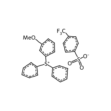 COc1cccc([S+](c2ccccc2)c2ccccc2)c1.O=S(=O)([O-])c1ccc(C(F)(F)F)cc1